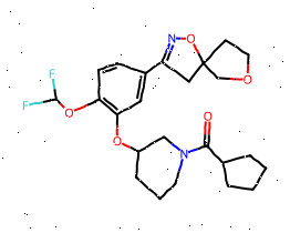 O=C(C1CCCC1)N1CCCC(Oc2cc(C3=NOC4(CCOC4)C3)ccc2OC(F)F)C1